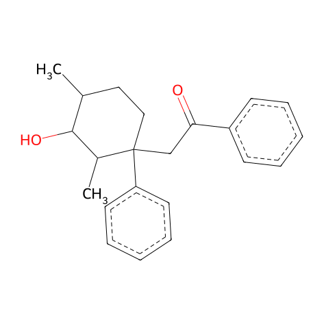 CC1CCC(CC(=O)c2ccccc2)(c2ccccc2)C(C)C1O